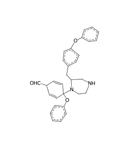 O=CC1C=CC(Oc2ccccc2)(N2CCNCC2Cc2ccc(Oc3ccccc3)cc2)C=C1